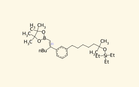 CCCC/C(=C\B1OC(C)(C)C(C)(C)O1)c1cccc(CCCCCC(C)(C)O[Si](CC)(CC)CC)c1